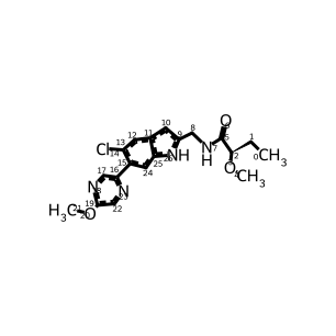 CC[C@@H](OC)C(=O)NCc1cc2cc(Cl)c(-c3cnc(OC)cn3)cc2[nH]1